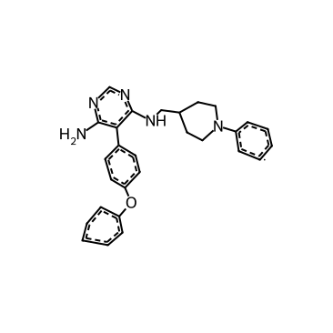 Nc1ncnc(NCC2CCN(c3c[c]ccc3)CC2)c1-c1ccc(Oc2ccccc2)cc1